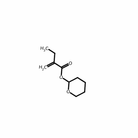 C=C(CC)C(=O)OC1CCCCO1